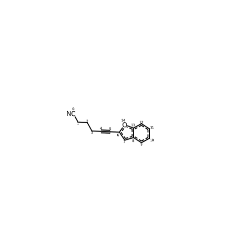 N#CCCCC#Cc1cc2ccccc2o1